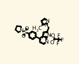 Cc1ccnn1Cc1cc2c(-c3ccc(S(=O)(=O)N4CCCC4)cc3)ccnc2n1OC(=O)C(F)(F)F